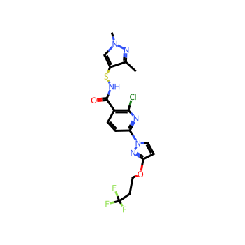 Cc1nn(C)cc1SNC(=O)c1ccc(-n2ccc(OCCC(F)(F)F)n2)nc1Cl